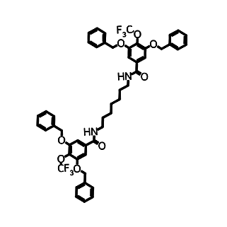 O=C(NCCCCCCCNC(=O)c1cc(OCc2ccccc2)c(OC(F)(F)F)c(OCc2ccccc2)c1)c1cc(OCc2ccccc2)c(OC(F)(F)F)c(OCc2ccccc2)c1